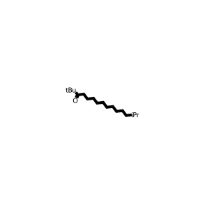 CC(C)CCCCCCCCCCC(=O)C(C)(C)C